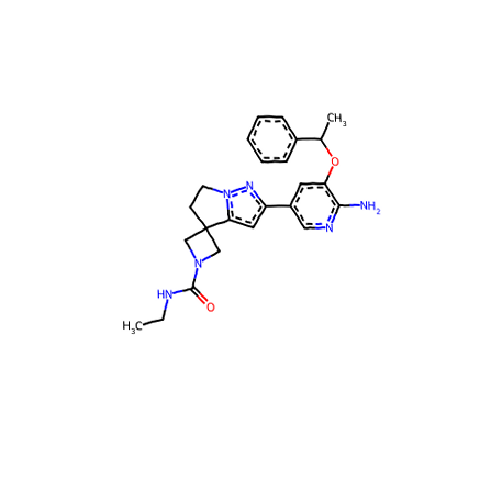 CCNC(=O)N1CC2(CCn3nc(-c4cnc(N)c(OC(C)c5ccccc5)c4)cc32)C1